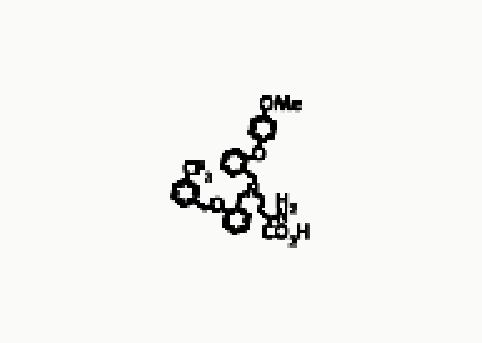 COc1ccc(Oc2ccccc2CN(CC[C@H](N)C(=O)O)Cc2ccccc2OCc2cccc(C(F)(F)F)c2)cc1